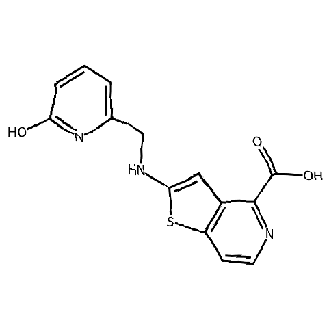 O=C(O)c1nccc2sc(NCc3cccc(O)n3)cc12